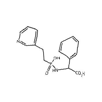 O=C(O)C(NP(=O)(O)CCc1cccnc1)c1ccccc1